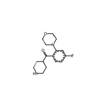 O=C(c1ccc(F)cc1N1CCOCC1)C1CCNCC1